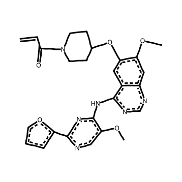 C=CC(=O)N1CCC(Oc2cc3c(Nc4nc(-c5ccco5)ncc4OC)ncnc3cc2OC)CC1